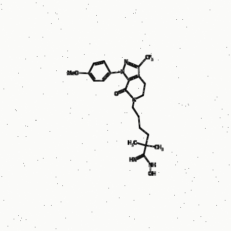 COc1ccc(-n2nc(C(F)(F)F)c3c2C(=O)N(CCCCC(C)(C)C(=N)NO)CC3)cc1